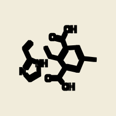 C=Cc1ncc[nH]1.CCc1c(C(=O)O)cc(C)cc1C(=O)O